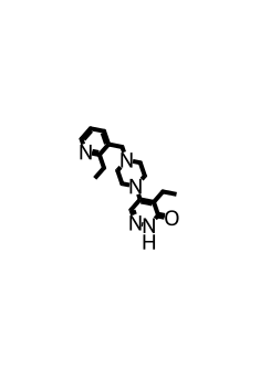 CCc1ncccc1CN1CCN(c2cn[nH]c(=O)c2CC)CC1